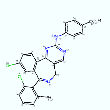 Bc1cccc(Cl)c1C1=NCc2cnc(Nc3ccc(C(=O)O)cc3)nc2-c2ccc(Cl)cc21